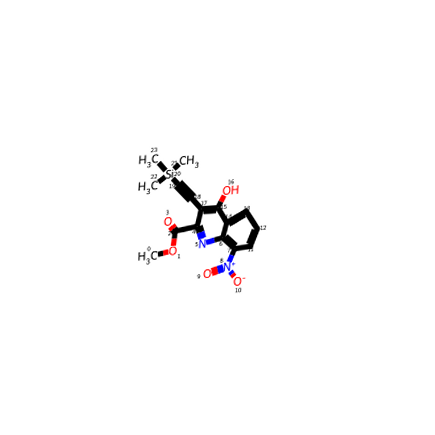 COC(=O)c1nc2c([N+](=O)[O-])cccc2c(O)c1C#C[Si](C)(C)C